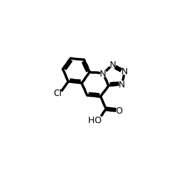 O=C(O)c1cc2c(Cl)cccc2n2nnnc12